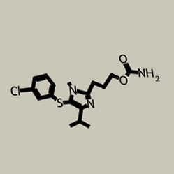 CC(C)c1nc(CCCOC(N)=O)n(C)c1Sc1cccc(Cl)c1